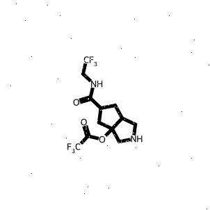 O=C(NCC(F)(F)F)C1CC2CNCC2(OC(=O)C(F)(F)F)C1